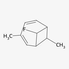 CC1=CC2C(C)C(C=C1)C2F